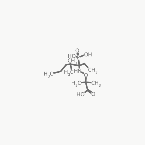 CCCC(C)(C)C(CC)(NOC(C)(C)C(=O)O)P(=O)(O)O